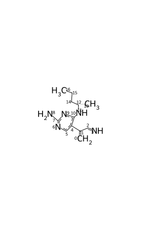 C=C(C=N)c1cnc(N)nc1N[C@@H](C)CCC